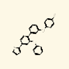 Fc1ccc(Oc2cc[c]c(-c3ccc(-c4cccs4)cc3Oc3ccccc3)c2)cc1